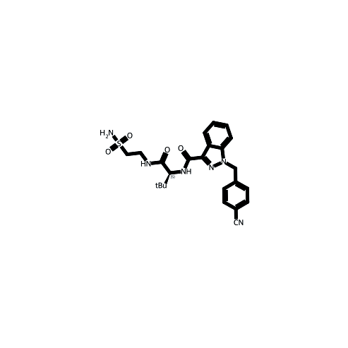 CC(C)(C)[C@H](NC(=O)c1nn(Cc2ccc(C#N)cc2)c2ccccc12)C(=O)NCCS(N)(=O)=O